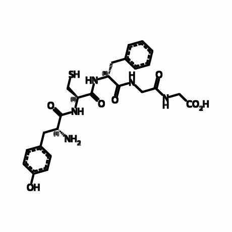 N[C@H](Cc1ccc(O)cc1)C(=O)N[C@@H](CS)C(=O)N[C@H](Cc1ccccc1)C(=O)NCC(=O)NCC(=O)O